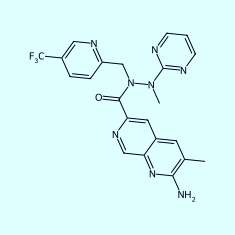 Cc1cc2cc(C(=O)N(Cc3ccc(C(F)(F)F)cn3)N(C)c3ncccn3)ncc2nc1N